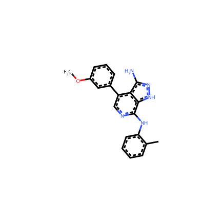 Cc1ccccc1Nc1ncc(-c2cccc(OC(F)(F)F)c2)c2c(N)n[nH]c12